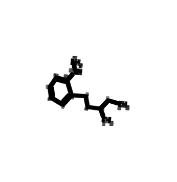 CCC(C)CCc1ccccc1NN